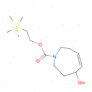 C[SH](C)(C)(C)CCOC(=O)N1CC/C=C\C(O)CC1